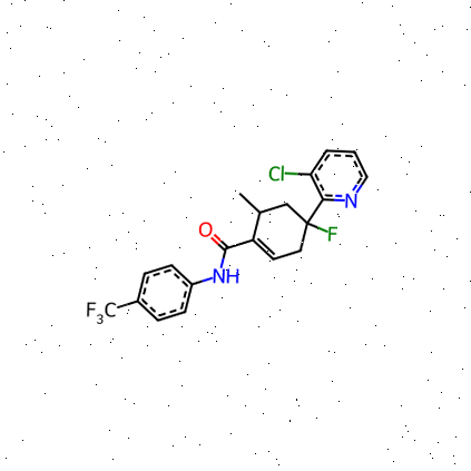 CC1CC(F)(c2ncccc2Cl)CC=C1C(=O)Nc1ccc(C(F)(F)F)cc1